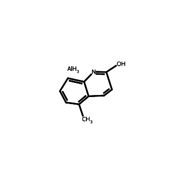 Cc1cccc2nc(O)ccc12.[AlH3]